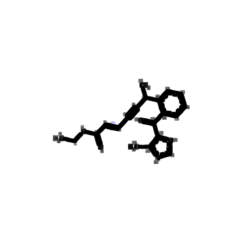 CCOC(=O)/C=C/C#CC(C)c1ccccc1C(=O)c1ocnc1C